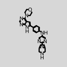 c1nc(N2CCOCC2)c2cc(-c3ccc(Nc4cnc(N5C6CCC5CNC6)nc4)cc3)[nH]c2n1